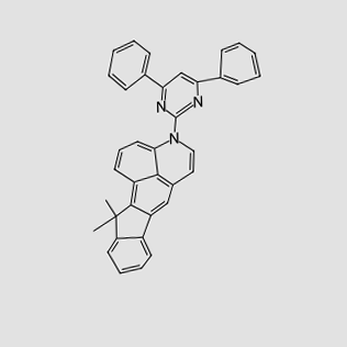 CC1(C)c2ccccc2-c2cc3c4c(cccc4c21)N(c1nc(-c2ccccc2)cc(-c2ccccc2)n1)C=C3